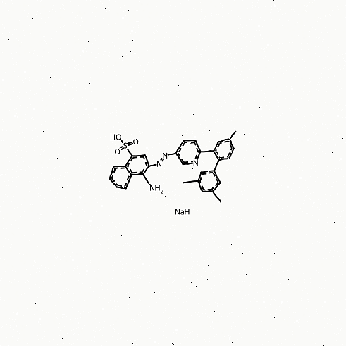 Cc1cc(C)cc(-c2ccc(C)cc2-c2ccc(N=Nc3cc(S(=O)(=O)O)c4ccccc4c3N)cn2)c1.[NaH]